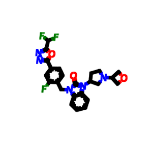 O=c1n(Cc2ccc(-c3nnc(C(F)F)o3)cc2F)c2ccccc2n1C1CCN(C2COC2)C1